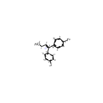 OC/C=C(/c1ccc(F)cc1)c1ccc(I)cc1